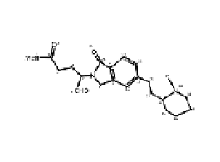 CNC(=O)CCC(C=O)N1Cc2cc(CCC3CCCCN3C)ccc2C1=O